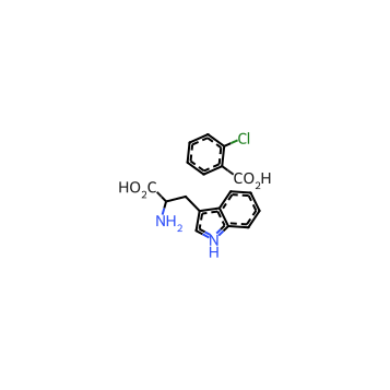 NC(Cc1c[nH]c2ccccc12)C(=O)O.O=C(O)c1ccccc1Cl